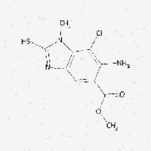 COC(=O)c1cc2nc(S)n(C)c2c(Cl)c1N